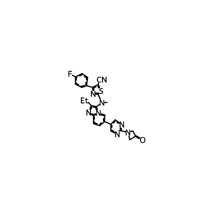 CCc1nc2ccc(-c3cnc(N4CC(=O)C4)nc3)cn2c1N(C)c1nc(-c2ccc(F)cc2)c(C#N)s1